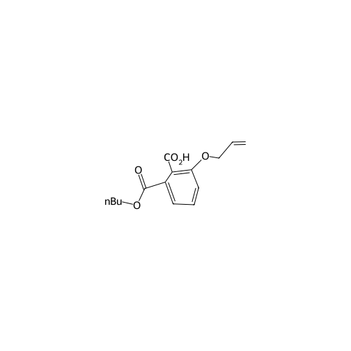 C=CCOc1cccc(C(=O)OCCCC)c1C(=O)O